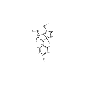 COC(=O)C1=C(SC)N=NC1(C)Sc1ccc(F)cc1